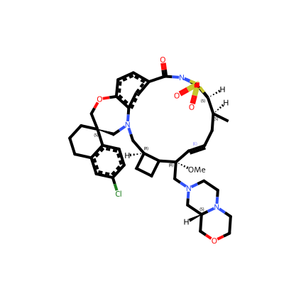 CO[C@@]1(CN2CCN3CCOC[C@@H]3C2)/C=C/C[C@H](C)[C@H]2CN(C(=O)c3ccc4c(c3)N(C[C@@H]3CCC31)C[C@@]1(CCCc3cc(Cl)ccc31)CO4)S2(=O)=O